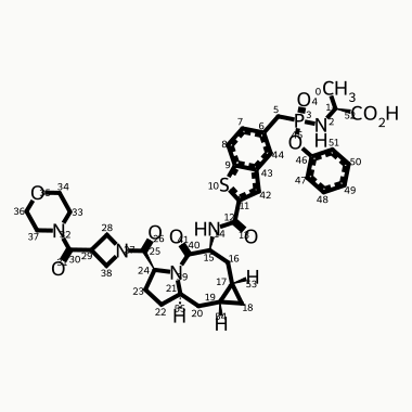 C[C@H](NP(=O)(Cc1ccc2sc(C(=O)N[C@H]3C[C@@H]4C[C@@H]4C[C@H]4CC[C@@H](C(=O)N5CC(C(=O)N6CCOCC6)C5)N4C3=O)cc2c1)Oc1ccccc1)C(=O)O